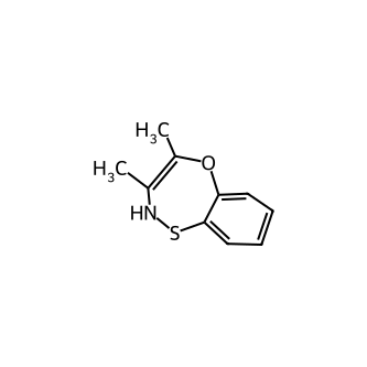 Cc1[nH]sc2ccccc2oc1C